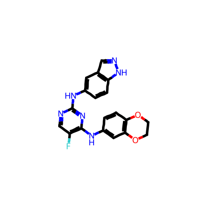 Fc1cnc(Nc2ccc3[nH]ncc3c2)nc1Nc1ccc2c(c1)OCCO2